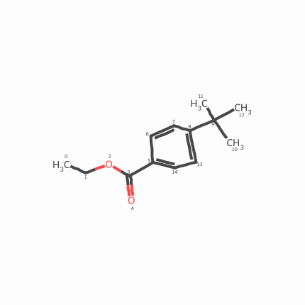 CCOC(=O)c1ccc(C(C)(C)C)cc1